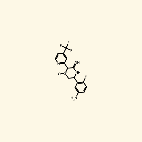 N=C1NC(c2cc(N)ccc2F)C[S+]([O-])C1c1cc(C(F)(F)F)ccn1